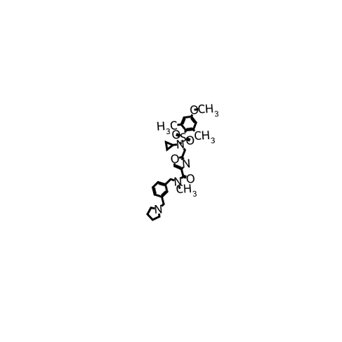 COc1cc(C)c(S(=O)(=O)N(Cc2nc(C(=O)N(C)Cc3cccc(CN4CCCC4)c3)co2)C2CC2)c(C)c1